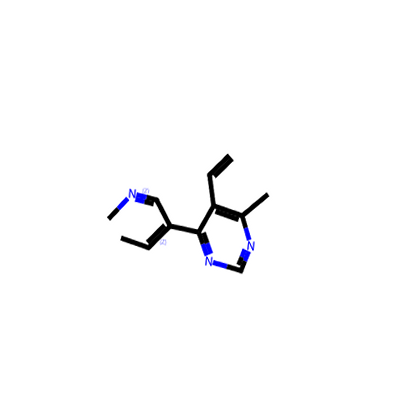 C=Cc1c(C)ncnc1C(/C=N\C)=C/C